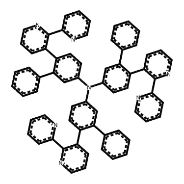 c1ccc(-c2cc(N(c3ccc(-c4cccnc4-c4ccccn4)c(-c4ccccc4)c3)c3ccc(-c4cccnc4-c4ccccn4)c(-c4ccccc4)c3)ccc2-c2cccnc2-c2ccccn2)cc1